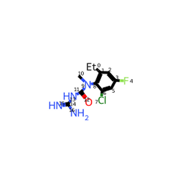 CCc1cc(F)cc(Cl)c1N(C)C(=O)NC(=N)N